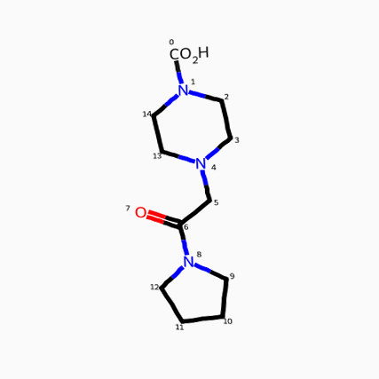 O=C(O)N1CCN(CC(=O)N2CCCC2)CC1